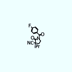 CC(C)C1(C#N)CCN(C(=O)c2ccc(F)cc2)C1=O